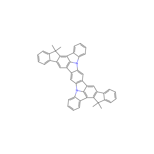 CC1(C)c2ccccc2-c2cc3c4cc5c(cc4n4c6ccccc6c(c21)c34)c1cc2c(c3c4ccccc4n5c13)C(C)(C)c1ccccc1-2